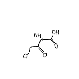 N.O=C(O)CC(=O)CCl